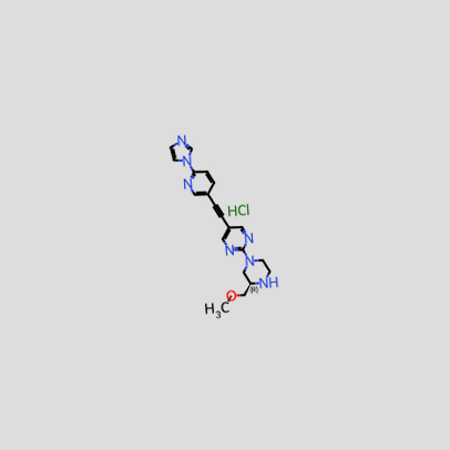 COC[C@H]1CN(c2ncc(C#Cc3ccc(-n4ccnc4)nc3)cn2)CCN1.Cl